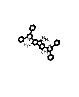 Cc1cc2c(cc1-c1cc(-c3ccccc3)cc(-c3ccccc3)n1)C(C)(C)c1cc(-c3cc(-c4ccccc4)cc(-c4ccccc4)n3)c(C)cc1-2